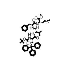 COC(=O)[C@H](CCSC)NC(=O)[C@H](Cc1ccccc1)NC[C@@H](NC(=O)[C@H](CSC(c1ccccc1)(c1ccccc1)c1ccccc1)NC(=O)OC(C)(C)C)C(C)C